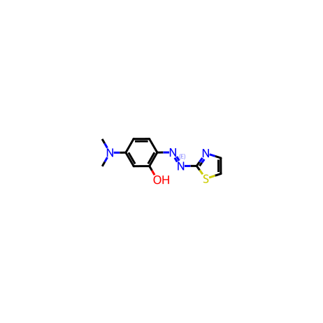 CN(C)c1ccc(/N=N/c2nccs2)c(O)c1